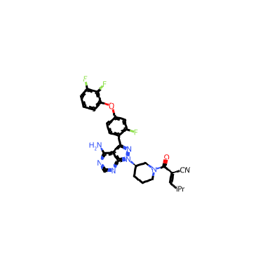 CC(C)C=C(C#N)C(=O)N1CCC[C@@H](n2nc(-c3ccc(Oc4cccc(F)c4F)cc3F)c3c(N)ncnc32)C1